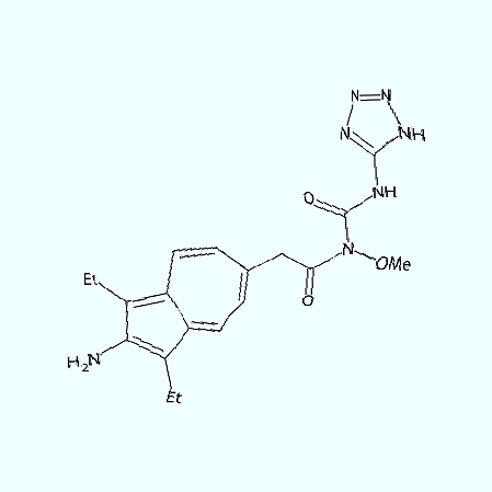 CCc1c2ccc(CC(=O)N(OC)C(=O)Nc3nnn[nH]3)ccc-2c(CC)c1N